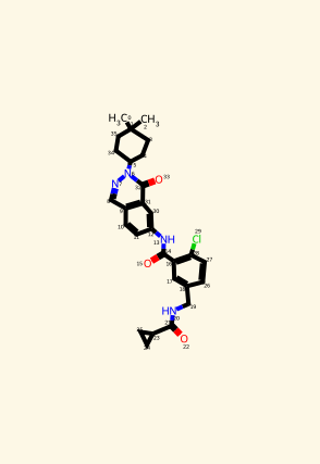 CC1(C)CCC(n2ncc3ccc(NC(=O)c4cc(CNC(=O)C5CC5)ccc4Cl)cc3c2=O)CC1